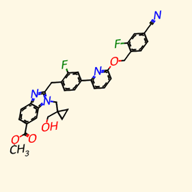 COC(=O)c1ccc2nc(Cc3ccc(-c4cccc(OCc5ccc(C#N)cc5F)n4)cc3F)n(CC3(CO)CC3)c2c1